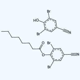 CCCCCCCC(=O)Oc1c(Br)cc(C#N)cc1Br.N#Cc1cc(Br)c(O)c(Br)c1